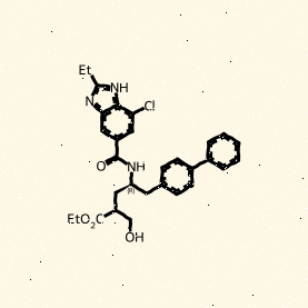 CCOC(=O)C(CO)C[C@H](Cc1ccc(-c2ccccc2)cc1)NC(=O)c1cc(Cl)c2[nH]c(CC)nc2c1